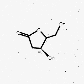 O=C1C[C@H](O)C(CO)O1